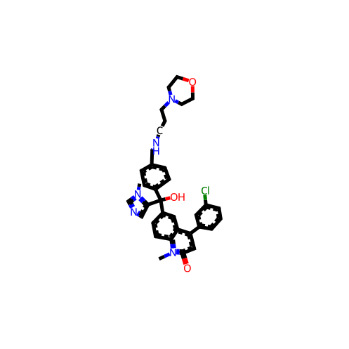 Cn1cncc1C(O)(c1ccc(CNCCCN2CCOCC2)cc1)c1ccc2c(c1)c(-c1cccc(Cl)c1)cc(=O)n2C